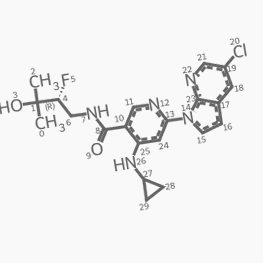 CC(C)(O)[C@H](F)CNC(=O)c1cnc(-n2ccc3cc(Cl)cnc32)cc1NC1CC1